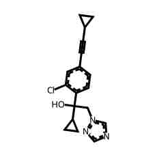 OC(Cn1cncn1)(c1ccc(C#CC2CC2)cc1Cl)C1CC1